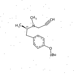 C#CCN(C)[C@H](C)Cc1ccc(OCCCC)cc1